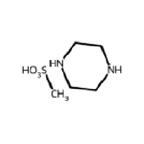 C1CNCCN1.CS(=O)(=O)O